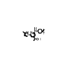 Cc1ccn(-c2cc(C(C)O)cc(NC3CCC(F)(F)CC3)n2)n1